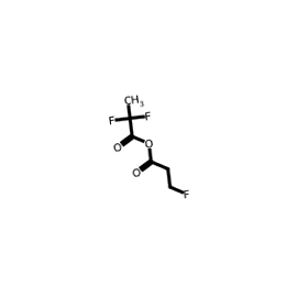 CC(F)(F)C(=O)OC(=O)CCF